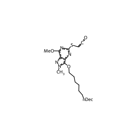 CCCCCCCCCCCCCCCCOc1c2nc(SC=C=O)nc(OC)c2nn1C